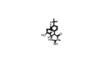 CN1C(=N)N[C@](C)(c2sc(F)cc2O)C(c2ccc(C(C)(F)F)cc2)C1=O